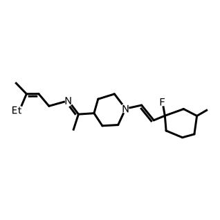 CC/C(C)=C\C/N=C(\C)C1CCN(/C=C/C2(F)CCCC(C)C2)CC1